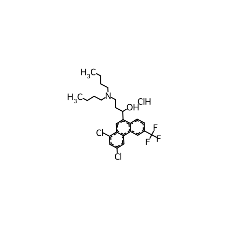 CCCCN(CCCC)CCC(O)c1cc2c(Cl)cc(Cl)cc2c2cc(C(F)(F)F)ccc12.Cl